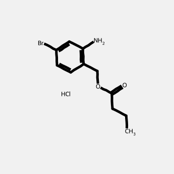 CCCC(=O)OCc1ccc(Br)cc1N.Cl